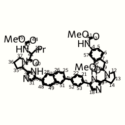 COC(=O)Nc1ccc(CC(=O)N2CCCC2c2ncc(-c3ccc(-c4ccc5cc(-c6cnc(C7CCCN7C(=O)C(NC(=O)OC)C(C)C)[nH]6)ccc5c4)cc3)[nH]2)c(OC)c1